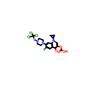 O=C(O)Oc1cn(C2CC2)c2cc(N3CCN(SC(Cl)(Cl)Cl)CC3)c(F)cc2c1=O